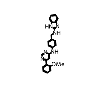 COc1ccccc1-c1cc(Nc2ccc(CNc3nc4ccccc4[nH]3)cc2)ncn1